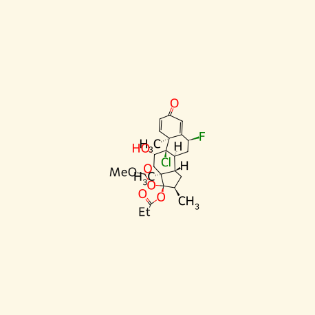 CCC(=O)O[C@]1(OC(=O)OC)[C@H](C)C[C@H]2[C@@H]3C[C@H](F)C4=CC(=O)C=C[C@]4(C)[C@@]3(Cl)[C@@H](O)C[C@@]21C